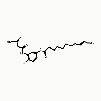 CCCCCCCCC=CCCCCCCCC(=O)Nc1ccc(Cl)c(NC(=O)CC(=O)C(C)(C)C)c1